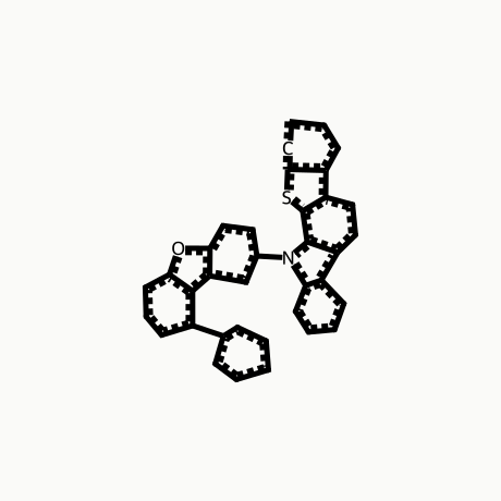 c1ccc(-c2cccc3oc4ccc(-n5c6ccccc6c6ccc7c8ccccc8sc7c65)cc4c23)cc1